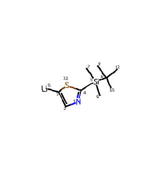 [Li][c]1cnc([Si](C)(C)C(C)(C)C)s1